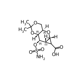 CC1(C)OC[C@H]2O[C@@H]3C(C(=O)O)[C@@H]3[C@@H](OS(N)(=O)=O)[C@@H]2O1